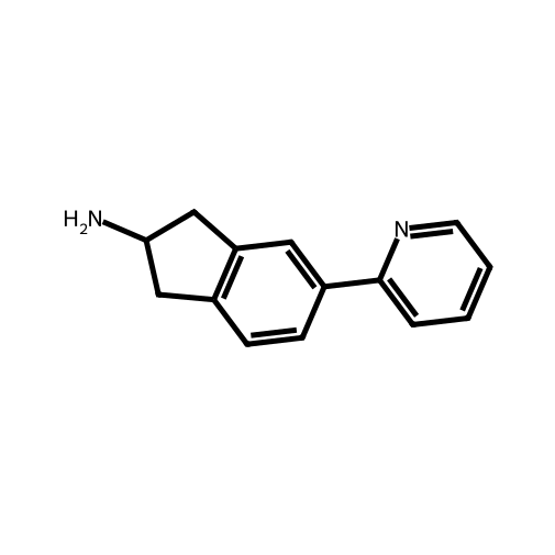 NC1Cc2ccc(-c3ccccn3)cc2C1